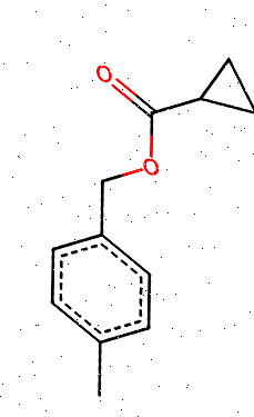 Cc1ccc(COC(=O)C2CC2)cc1